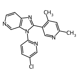 Cc1cc(C)c(-c2nc3ccncc3n2-c2ccc(Cl)cn2)cn1